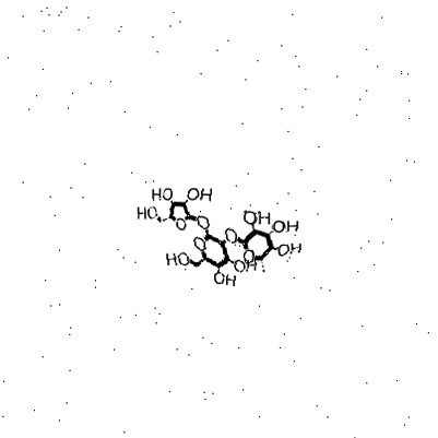 C[C@@H]1OC(O[C@H]2[C@H](OC3O[C@H](CO)[C@@H](O)[C@@H]3O)O[C@H](CO)[C@@H](O)[C@@H]2O)[C@H](O)[C@H](O)[C@H]1O